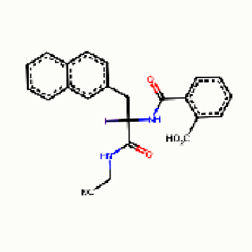 N#CCNC(=O)C(I)(Cc1ccc2ccccc2c1)NC(=O)c1ccccc1C(=O)O